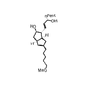 CCCCC[C@H](O)/C=C/[C@@H]1[C@H]2CC(CCCCCOC)=C[C@H]2C[C@H]1O